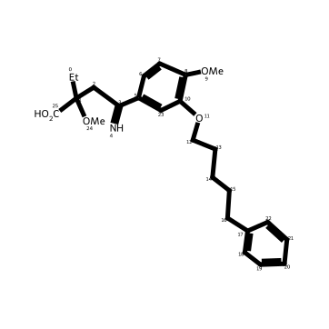 CCC(CC(=N)c1ccc(OC)c(OCCCCCc2ccccc2)c1)(OC)C(=O)O